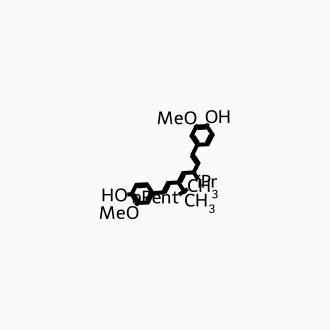 CCCCCC(C)(C)C(=C\C(/C=C/c1ccc(O)c(OC)c1)C(C)C)/C=C/c1ccc(O)c(OC)c1